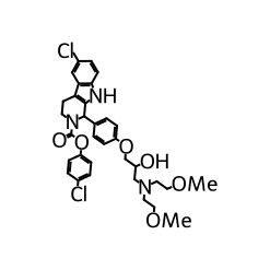 COCCN(CCOC)CC(O)COc1ccc(C2c3[nH]c4ccc(Cl)cc4c3CCN2C(=O)Oc2ccc(Cl)cc2)cc1